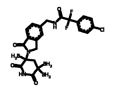 BC1(B)CC(B)(N2Cc3cc(CNC(=O)C(F)(F)c4ccc(Cl)cc4)ccc3C2=O)C(=O)NC1=O